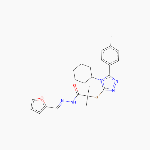 Cc1ccc(-c2nnc(SC(C)(C)C(=O)NN=Cc3ccco3)n2C2CCCCC2)cc1